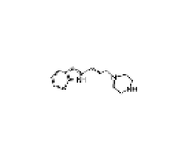 C(=Cc1cc2ccccc2[nH]1)CN1CCNCC1